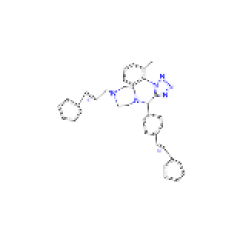 Cc1cccc(C)c1-n1nnnc1C(c1ccc(/C=C/c2ccccc2)cc1)N1CCN(C/C=C/c2ccccc2)CC1